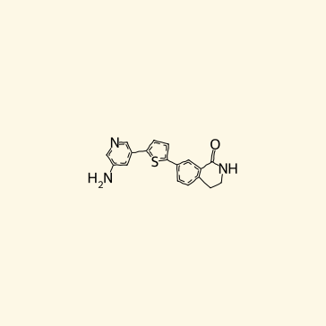 Nc1cncc(-c2ccc(-c3ccc4c(c3)C(=O)NCC4)s2)c1